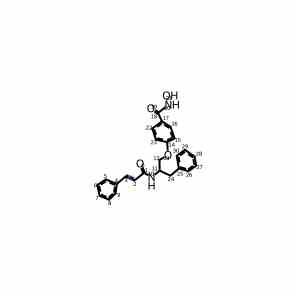 O=C(/C=C/c1ccccc1)NC(COc1ccc(C(=O)NO)cc1)Cc1ccccc1